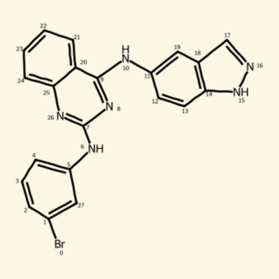 Brc1cccc(Nc2nc(Nc3ccc4[nH]ncc4c3)c3ccccc3n2)c1